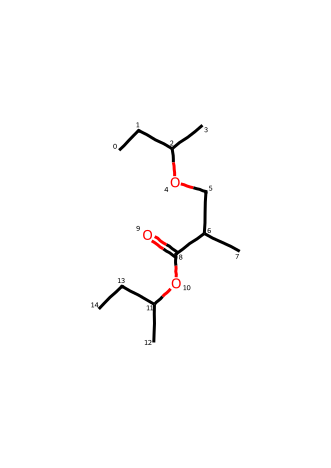 CCC(C)OCC(C)C(=O)OC(C)CC